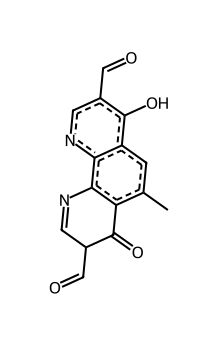 Cc1cc2c(O)c(C=O)cnc2c2c1C(=O)C(C=O)C=N2